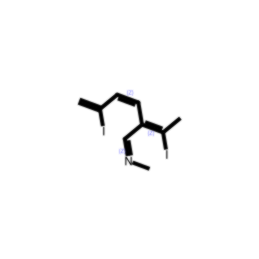 C=C(I)\C=C/C(/C=N\C)=C(\C)I